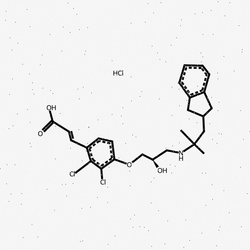 CC(C)(CC1Cc2ccccc2C1)NC[C@@H](O)COc1ccc(C=CC(=O)O)c(Cl)c1Cl.Cl